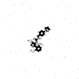 Cc1cccc(C)c1-c1noc(C)c1NC(=O)NCc1ccc(-n2cccn2)cc1